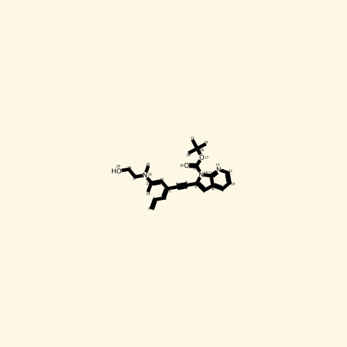 C=C/C=C(C#Cc1cc2cccnc2n1C(=O)OC(C)(C)C)\C=C(/C)N(C)CCO